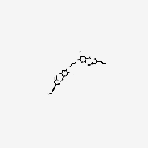 CC=CC1=CN2C(=O)c3cc(OC)c(OCCCOc4cc5c(cc4OC)C(=O)N4C=C(C#CCN)C[C@H]4C=N5)cc3N=C[C@@H]2C1